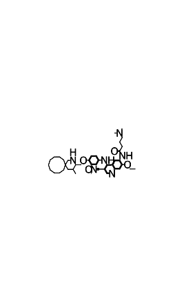 CCOc1cc2ncc(C#N)c(Nc3ccc(OCC4NCC5(CCCCCCCCC5)CC4C)c(OC)c3)c2cc1NC(=O)CCCN(C)C